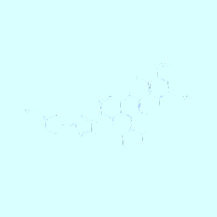 COc1cc(OC)c(F)c(-c2cc3cnc(-c4cnn(C5CCN(SC)C5)c4)nc3c(N3CCOCC3)n2)c1F